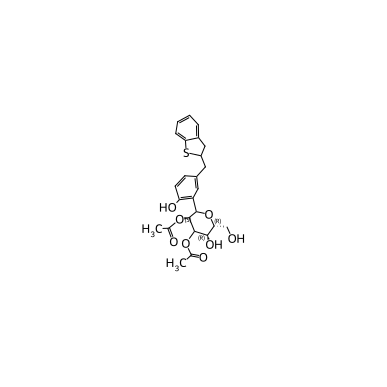 CC(=O)OC1[C@@H](OC(C)=O)C(c2cc(CC3Cc4ccccc4S3)ccc2O)O[C@H](CO)[C@H]1O